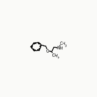 CNCC(C)OCc1ccccc1